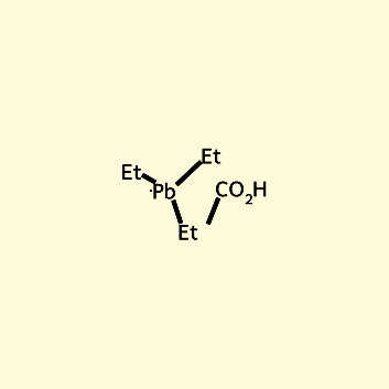 CC(=O)O.C[CH2][Pb]([CH2]C)[CH2]C